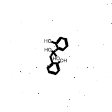 Oc1ccccc1CC(O)(O)c1ccccc1O